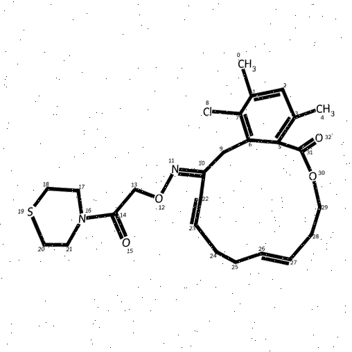 Cc1cc(C)c2c(c1Cl)CC(=N/OCC(=O)N1CCSCC1)/C=C/CC/C=C/CCOC2=O